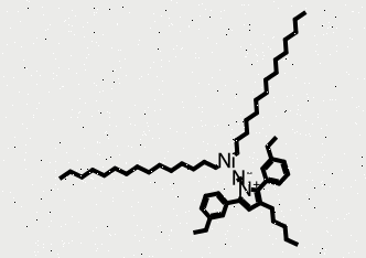 CCCCCC1=C(c2cccc(CC)c2)[N+](=[N-])C(c2cccc(CC)c2)=C1.CCCCCCCCCCCCCC[CH2][Ni][CH2]CCCCCCCCCCCCCC